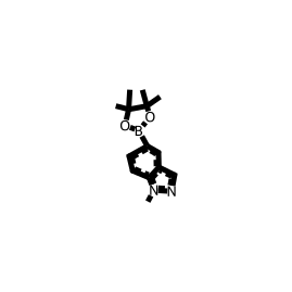 Cn1ncc2cc(B3OC(C)(C)C(C)(C)O3)ccc21